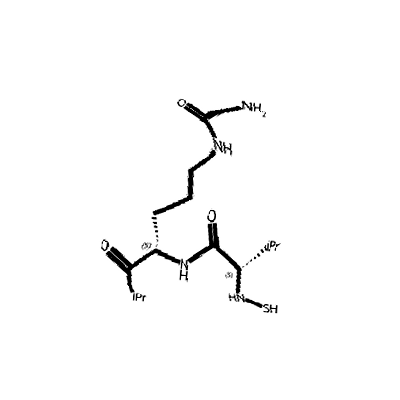 CC(C)C(=O)[C@H](CCCNC(N)=O)NC(=O)[C@@H](NS)C(C)C